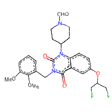 COc1cccc(Cn2c(=O)c3cc(OC(CF)CF)ccc3n(C3CCN(C=O)CC3)c2=O)c1OC